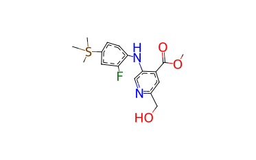 COC(=O)c1cc(CO)ncc1Nc1ccc(S(C)(C)C)cc1F